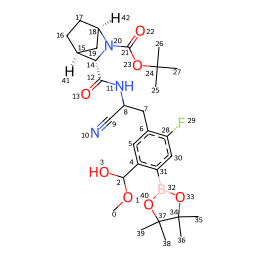 COC(O)c1cc(CC(C#N)NC(=O)[C@@H]2[C@H]3CC[C@H](C3)N2C(=O)OC(C)(C)C)c(F)cc1B1OC(C)(C)C(C)(C)O1